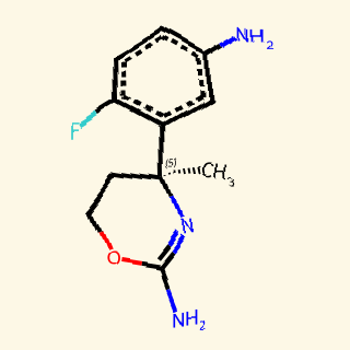 C[C@@]1(c2cc(N)ccc2F)CCOC(N)=N1